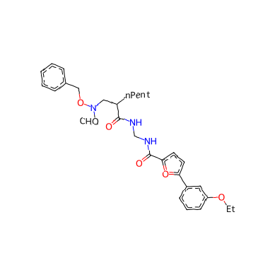 CCCCCC(CN(C=O)OCc1ccccc1)C(=O)NCNC(=O)c1ccc(-c2cccc(OCC)c2)o1